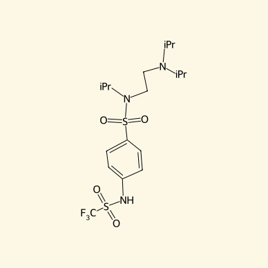 CC(C)N(CCN(C(C)C)S(=O)(=O)c1ccc(NS(=O)(=O)C(F)(F)F)cc1)C(C)C